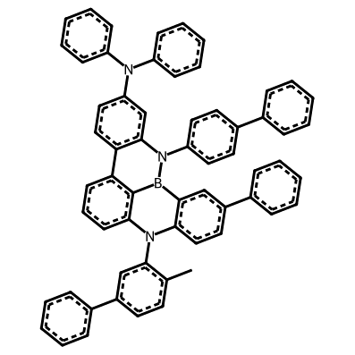 Cc1ccc(-c2ccccc2)cc1N1c2ccc(-c3ccccc3)cc2B2c3c(cccc31)-c1ccc(N(c3ccccc3)c3ccccc3)cc1N2c1ccc(-c2ccccc2)cc1